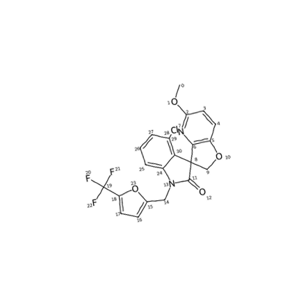 COc1ccc2c(n1)C1(CO2)C(=O)N(Cc2ccc(C(F)(F)F)o2)c2cccc(Cl)c21